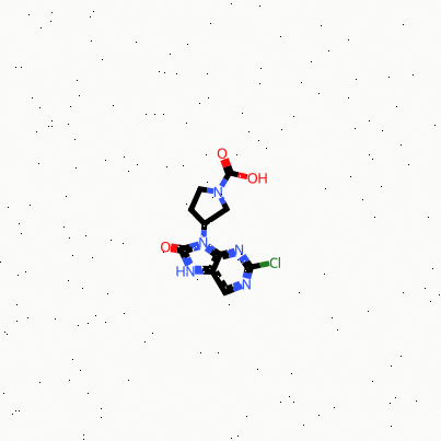 O=C(O)N1CCC(n2c(=O)[nH]c3cnc(Cl)nc32)C1